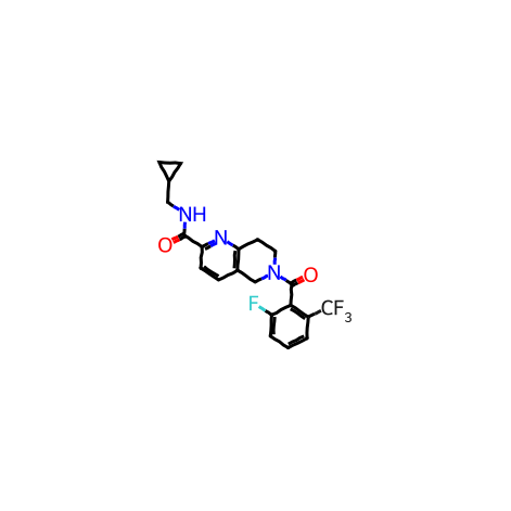 O=C(NCC1CC1)c1ccc2c(n1)CCN(C(=O)c1c(F)cccc1C(F)(F)F)C2